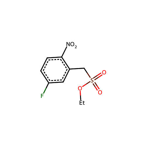 CCOS(=O)(=O)Cc1cc(F)ccc1[N+](=O)[O-]